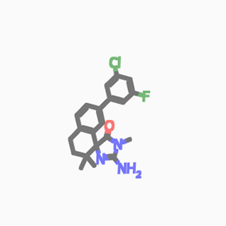 CN1C(=O)C2(N=C1N)c1cc(-c3cc(F)cc(Cl)c3)ccc1CCC2(C)C